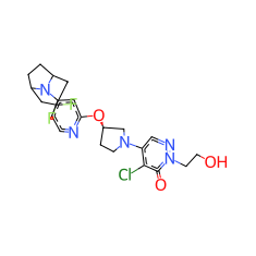 O=c1c(Cl)c(N2CC[C@@H](Oc3cc(N4C5CCC4CC(F)(F)C5)ccn3)C2)cnn1CCO